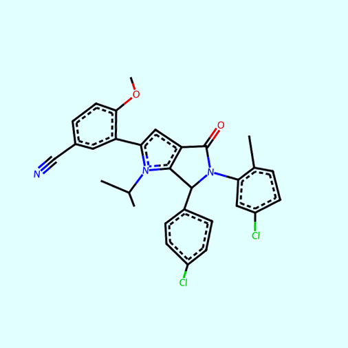 COc1ccc(C#N)cc1-c1cc2c(n1C(C)C)C(c1ccc(Cl)cc1)N(c1cc(Cl)ccc1C)C2=O